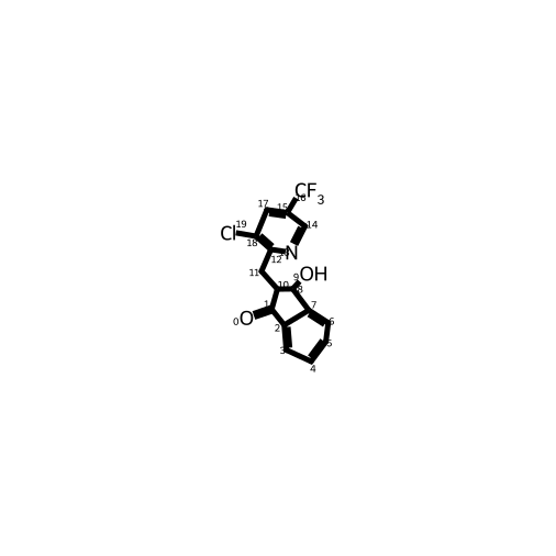 O=C1c2ccccc2C(O)C1Cc1ncc(C(F)(F)F)cc1Cl